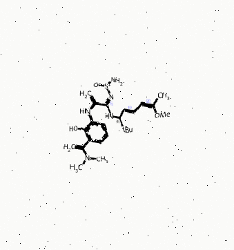 C=C(Nc1cccc(C(=C)N(C)C)c1O)/C(=N\[S+](N)[O-])N[C@@H](/C=C/C=C(/C)OC)C(C)(C)C